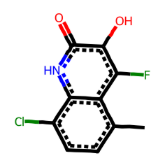 Cc1ccc(Cl)c2[nH]c(=O)c(O)c(F)c12